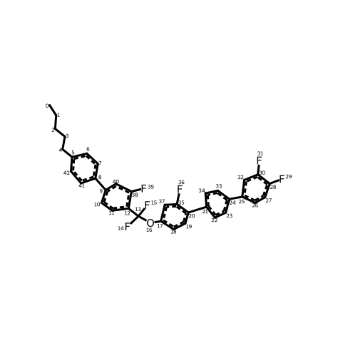 CCCCCc1ccc(-c2ccc(C(F)(F)Oc3ccc(-c4ccc(-c5ccc(F)c(F)c5)cc4)c(F)c3)c(F)c2)cc1